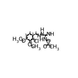 COc1ccc(C=NNC(=N)NOC(C)=O)c(Cl)c1OC